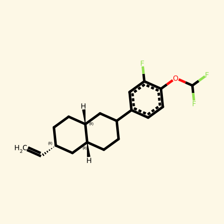 C=C[C@@H]1CC[C@@H]2CC(c3ccc(OC(F)F)c(F)c3)CC[C@@H]2C1